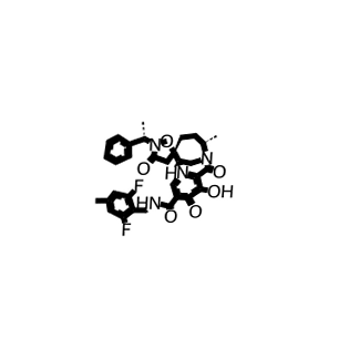 Cc1cc(F)c(CNC(=O)c2cn3c(c(O)c2=O)C(=O)N2C[C@@H]3[C@]3(CC[C@@H]2C)CC(=O)N([C@@H](C)c2ccccc2)O3)c(F)c1